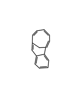 C1=CC=C2CC(=Cc3ccccc32)C=C1